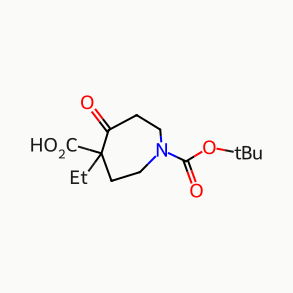 CCC1(C(=O)O)CCN(C(=O)OC(C)(C)C)CCC1=O